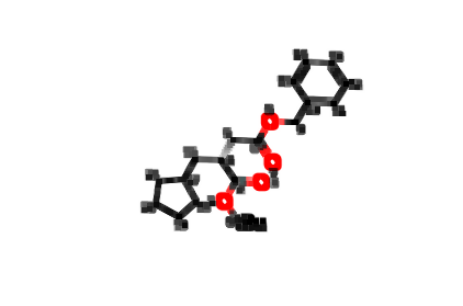 CC(C)(C)OC(=O)[C@@H](CC(=O)OCc1ccccc1)CC1CCCC1